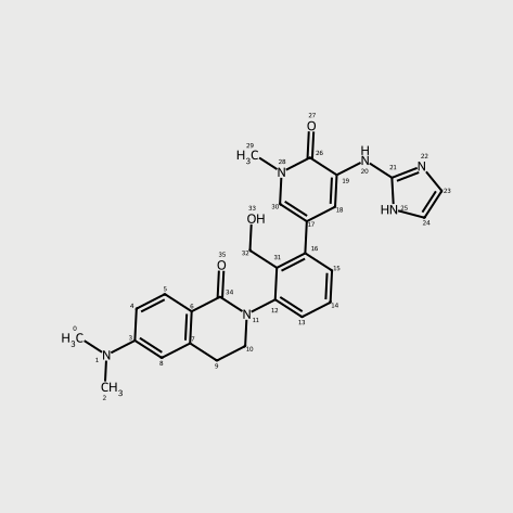 CN(C)c1ccc2c(c1)CCN(c1cccc(-c3cc(Nc4ncc[nH]4)c(=O)n(C)c3)c1CO)C2=O